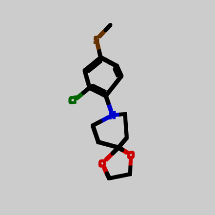 CSc1ccc(N2CCC3(CC2)OCCO3)c(Cl)c1